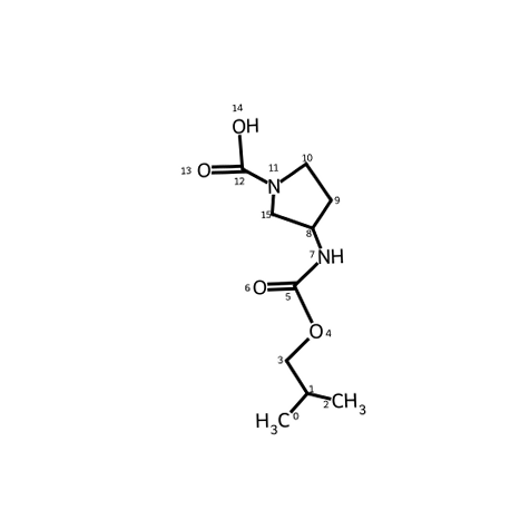 CC(C)COC(=O)NC1CCN(C(=O)O)C1